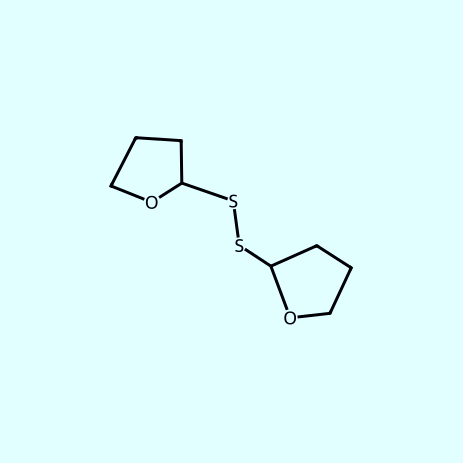 C1COC(SSC2CCCO2)C1